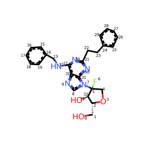 OC[C@H]1OC[C@@](F)(n2cnc3c(NCc4ccccc4)nc(CCc4ccccc4)nc32)[C@@H]1O